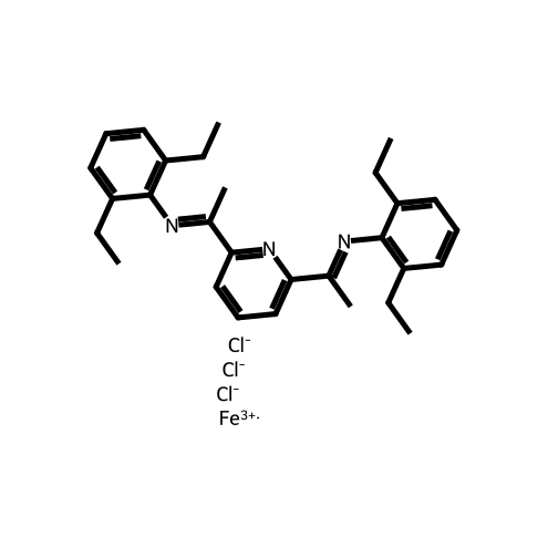 CCc1cccc(CC)c1N=C(C)c1cccc(C(C)=Nc2c(CC)cccc2CC)n1.[Cl-].[Cl-].[Cl-].[Fe+3]